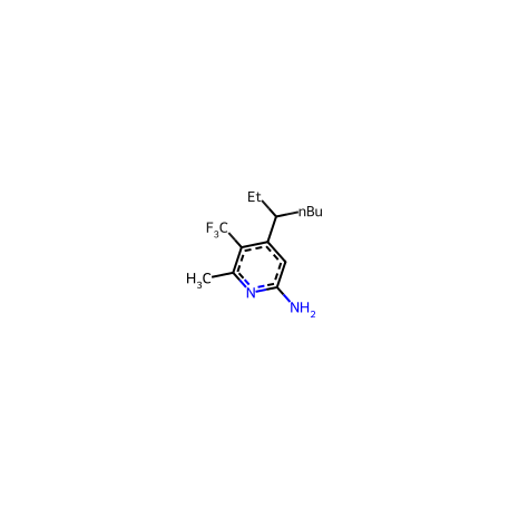 CCCCC(CC)c1cc(N)nc(C)c1C(F)(F)F